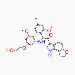 COc1cc(NC(C(=O)c2c[nH]c3c4c(ccc23)OCC4)c2ccc(F)cc2OC)cc(OCCO)c1